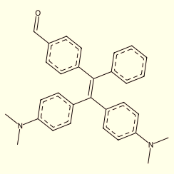 CN(C)c1ccc(C(=C(c2ccccc2)c2ccc(C=O)cc2)c2ccc(N(C)C)cc2)cc1